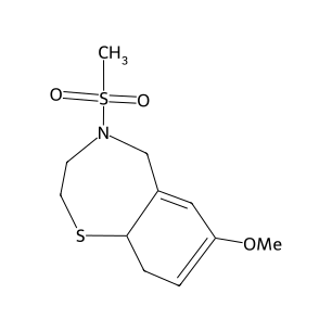 COC1=CCC2SCCN(S(C)(=O)=O)CC2=C1